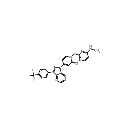 CNc1ccnc(Cn2ccc(-n3nc(-c4ccc(C(F)(F)F)cc4)c4nccnc43)cc2=O)n1